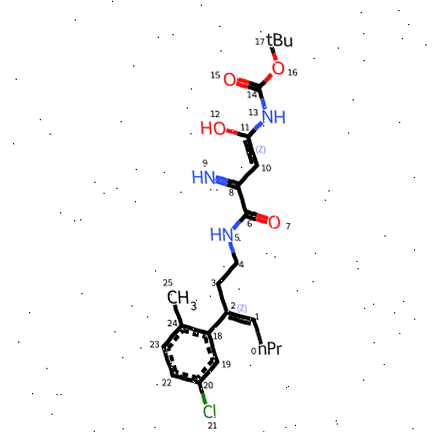 CCC/C=C(/CCNC(=O)C(=N)/C=C(\O)NC(=O)OC(C)(C)C)c1cc(Cl)ccc1C